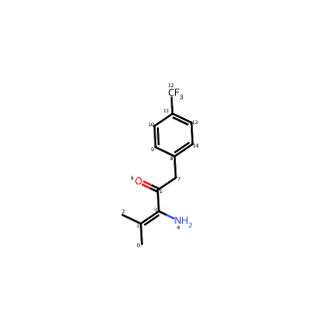 CC(C)=C(N)C(=O)Cc1ccc(C(F)(F)F)cc1